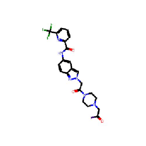 O=C(I)CN1CCN(C(=O)Cn2cc3cc(NC(=O)c4cccc(C(F)(F)F)n4)ccc3n2)CC1